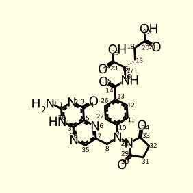 Nc1nc(=O)c2nc(CN(c3ccc(C(=O)N[C@@H](CCC(=O)O)C(=O)O)cc3)N3C(=O)CCC3=O)cnc2[nH]1